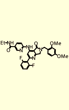 CCNC(=O)c1ccc(Nc2cc(-c3c(F)cccc3F)nc3c2C(=O)N(Cc2ccc(OC)cc2OC)C3)nc1